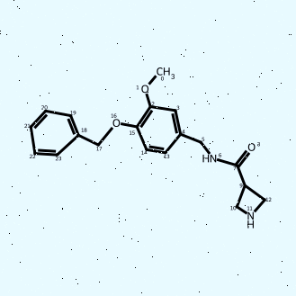 COc1cc(CNC(=O)C2CNC2)ccc1OCc1ccccc1